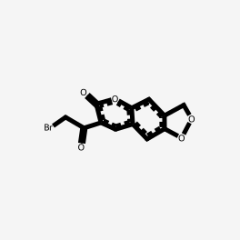 O=C(CBr)c1cc2cc3c(cc2oc1=O)COO3